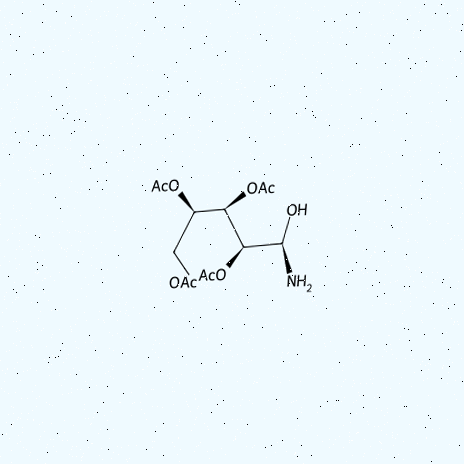 CC(=O)OC[C@@H](OC(C)=O)[C@@H](OC(C)=O)[C@H](OC(C)=O)[C@H](N)O